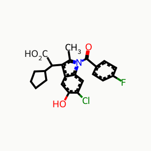 Cc1c(C(C(=O)O)C2CCCC2)c2cc(O)c(Cl)cc2n1C(=O)c1ccc(F)cc1